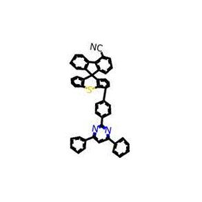 N#Cc1cccc2c1-c1ccccc1C21c2ccccc2Sc2c(-c3ccc(-c4nc(-c5ccccc5)cc(-c5ccccc5)n4)cc3)cccc21